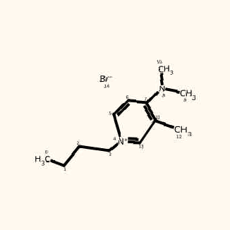 CCCC[n+]1ccc(N(C)C)c(C)c1.[Br-]